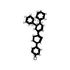 Clc1ccc(C2C=C=C(C3=C=CC(c4ccccc4)C(c4ccccc4)C3)CC2)cc1